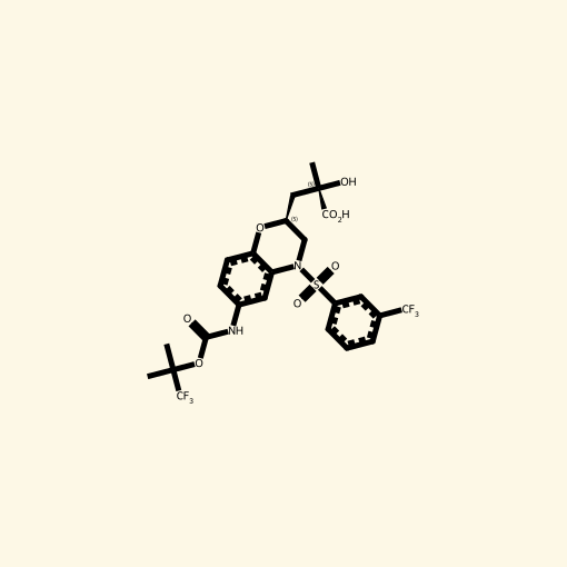 CC(C)(OC(=O)Nc1ccc2c(c1)N(S(=O)(=O)c1cccc(C(F)(F)F)c1)C[C@H](C[C@](C)(O)C(=O)O)O2)C(F)(F)F